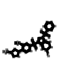 Cc1cc(S(=O)(=O)c2cn(S(=O)(=O)c3ccccc3)c3c2=CC(F)CC=3)ccc1C1CCN(C)C1